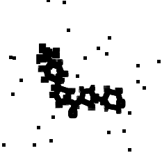 O=C(C1CCN(C2CCOCC2)C1)N1CCC(c2ccc(C(F)(F)F)cc2)C1